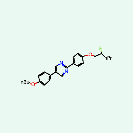 CCCCOc1ccc(-c2cnc(-c3ccc(OCC(F)CCC)cc3)nc2)cc1